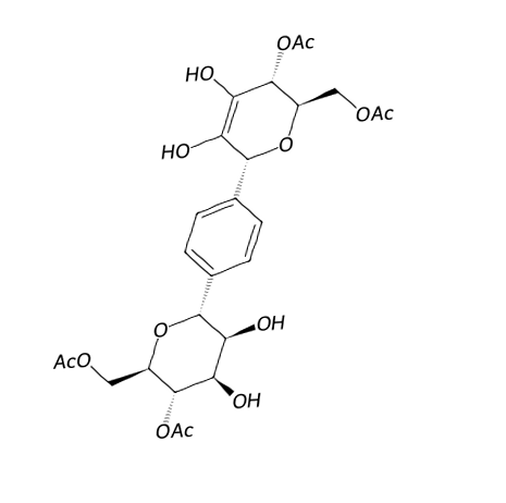 CC(=O)OC[C@H]1O[C@H](c2ccc([C@H]3O[C@H](COC(C)=O)[C@@H](OC(C)=O)C(O)=C3O)cc2)[C@@H](O)[C@@H](O)[C@@H]1OC(C)=O